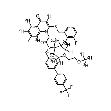 [2H]c1c(C)c([2H])c2c(c1[2H])c(=O)c([2H])c(SCc1cccc(F)c1F)n2CC(=O)N(Cc1ccc(-c2ccc(C(F)(F)F)cc2)cc1)C1([2H])C([2H])([2H])C([2H])([2H])N(CCOC([2H])([2H])[2H])C([2H])([2H])C1([2H])[2H]